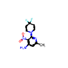 Cc1cc(N)c([N+](=O)[O-])c(N2CCC(F)(F)CC2)n1